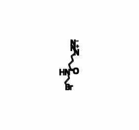 [N-]=[N+]=NCCCC(=O)NCCBr